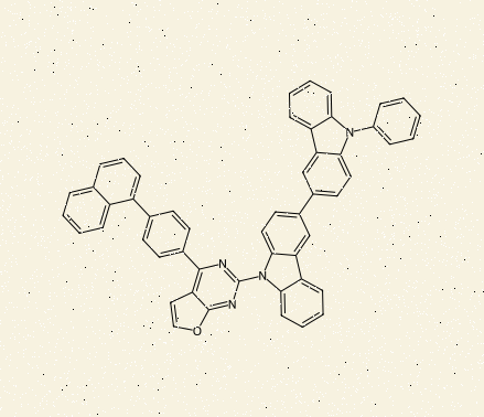 c1ccc(-n2c3ccccc3c3cc(-c4ccc5c(c4)c4ccccc4n5-c4nc(-c5ccc(-c6cccc7ccccc67)cc5)c5ccoc5n4)ccc32)cc1